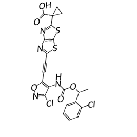 CC(OC(=O)Nc1c(Cl)noc1C#Cc1nc2nc(C3(C(=O)O)CC3)sc2s1)c1ccccc1Cl